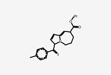 Cc1ccc(C(=S)C2C=CC3=CC(C(=O)OC(C)C)CCCN32)cc1